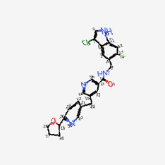 O=C(NCc1cc2c(Cl)c[nH]c2cc1F)c1cncc(Cc2ccc(C3CCCO3)nc2)c1